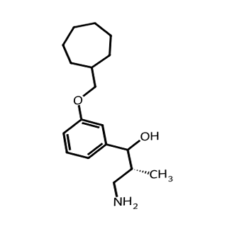 C[C@H](CN)C(O)c1cccc(OCC2CCCCCC2)c1